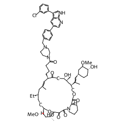 CC[C@@H]1CC[C@H]2O[C@@](O)(C(=O)C(=O)N3CCCC[C@H]3C(=O)OC[C@H](/C(C)=C/[C@@H]3CC[C@@H](O)[C@H](OC)C3)[C@H](C)[C@@H](O)CC(=O)[C@H](CCCC(=O)N3CCN(Cc4ccc(-c5cnc6[nH]cc(-c7cccc(Cl)c7)c6c5)cc4)CC3)/C=C(\C)C1)[C@H](C)C[C@@H]2OC